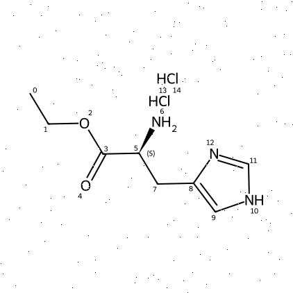 CCOC(=O)[C@@H](N)Cc1c[nH]cn1.Cl.Cl